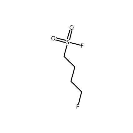 O=S(=O)(F)CCCCF